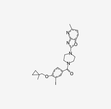 Cc1ccc2oc(N3CCN(C(=O)c4ccc(OCC5(C)CC5)c(I)c4)CC3)nc2n1